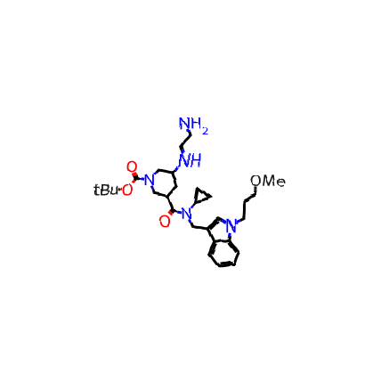 COCCCn1cc(CN(C(=O)C2CC(NCCN)CN(C(=O)OC(C)(C)C)C2)C2CC2)c2ccccc21